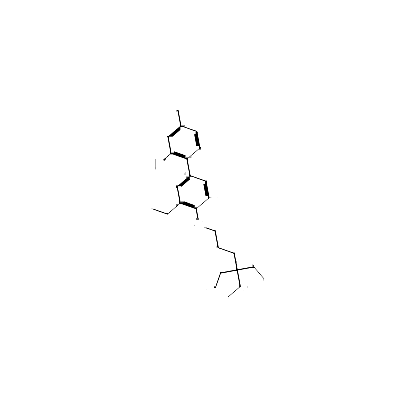 CCc1cc(-c2ccc(C)cc2F)ccc1OCCCC(CC)(CC)CC